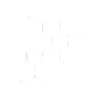 COCCc1c(C(C)=O)c(O)cc(O)c1-c1cccc(C(=O)OC)c1